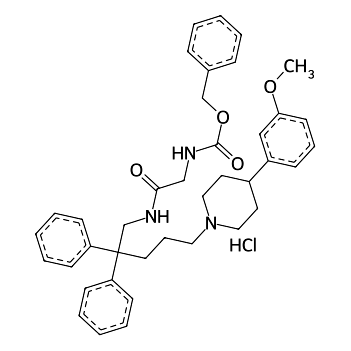 COc1cccc(C2CCN(CCCC(CNC(=O)CNC(=O)OCc3ccccc3)(c3ccccc3)c3ccccc3)CC2)c1.Cl